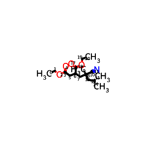 CCOC(=O)CC(CC(C)(C#N)CC(C)C)C(=O)OCC